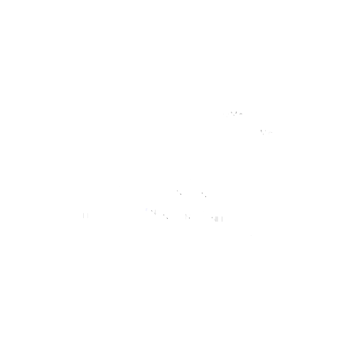 C/C=C\Nc1nc(N/N=C/c2cccc(C)c2)nc(OCCc2ccc(OC)c(OC)c2)n1